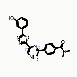 C/C(=N\C(=C/N)c1nnc(-c2cccc(O)c2)o1)c1ccc(C(=O)N(C)C)cc1